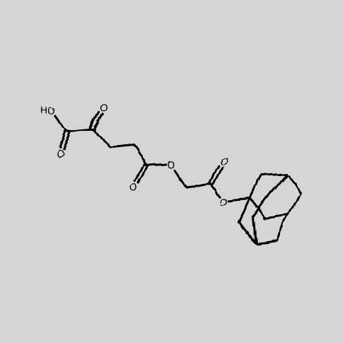 O=C(CCC(=O)C(=O)O)OCC(=O)OC12CC3CC(CC(C3)C1)C2